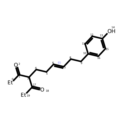 CCC(=O)C(CC/C=C/CCc1ccc(O)cc1)C(=O)CC